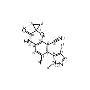 Cn1ncc(I)c1-c1c(F)cc2c(c1C#N)OC1(CC1)C(=O)N2